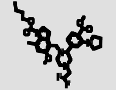 CCCCOC(=O)n1ccc2c(CN3CCN(CC(F)F)CC3c3ccc(C(=O)OC)c(N4CCCC4)c3)c(OC)cc(C)c21